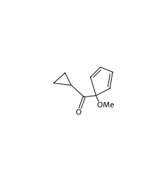 COC1(C(=O)C2CC2)C=CC=C1